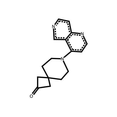 O=C1CC2(CCN(c3ccnc4ccncc34)CC2)C1